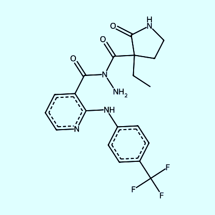 CCC1(C(=O)N(N)C(=O)c2cccnc2Nc2ccc(C(F)(F)F)cc2)CCNC1=O